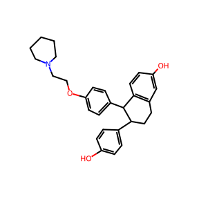 Oc1ccc(C2CCc3cc(O)ccc3C2c2ccc(OCCN3CCCCC3)cc2)cc1